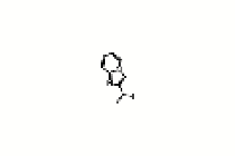 CC(I)c1cn2ccccc2n1